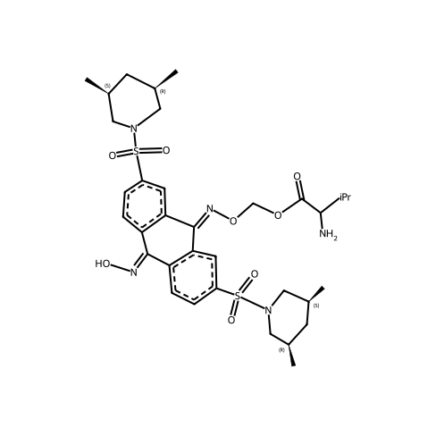 CC(C)C(N)C(=O)OCON=C1c2cc(S(=O)(=O)N3C[C@H](C)C[C@H](C)C3)ccc2C(=NO)c2ccc(S(=O)(=O)N3C[C@H](C)C[C@H](C)C3)cc21